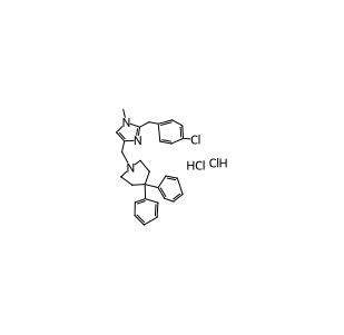 Cl.Cl.Cn1cc(CN2CCC(c3ccccc3)(c3ccccc3)CC2)nc1Cc1ccc(Cl)cc1